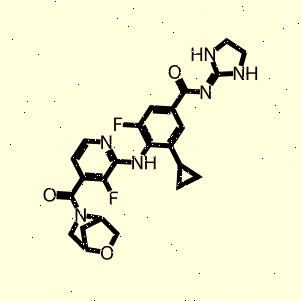 O=C(N=C1NCCN1)c1cc(F)c(Nc2nccc(C(=O)N3CC4CC3CO4)c2F)c(C2CC2)c1